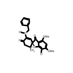 COc1cc(OC)c2c(c1Cl)O[C@@]1(C=C([S+]([O-])Cc3ccccc3)C(=O)C[C@H]1C)C2=O